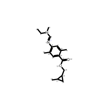 CCN(C)/C=N/c1cc(C)c(C(=O)OCC2CC2C)cc1C